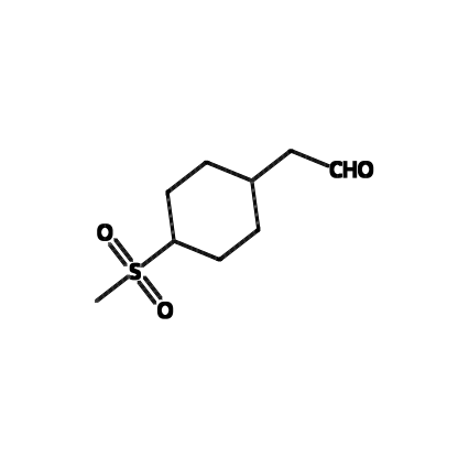 CS(=O)(=O)C1CCC(CC=O)CC1